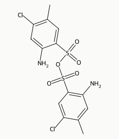 Cc1cc(S(=O)(=O)OS(=O)(=O)c2cc(Cl)c(C)cc2N)c(N)cc1Cl